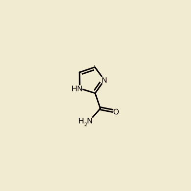 NC(=O)c1n[c]c[nH]1